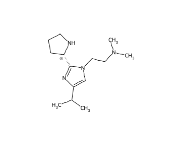 CC(C)c1cn(CCN(C)C)c([C@@H]2CCCN2)n1